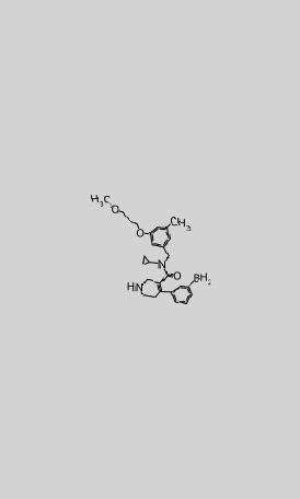 Bc1cccc(C2=C(C(=O)N(Cc3cc(C)cc(OCCCOC)c3)C3CC3)CNCC2)c1